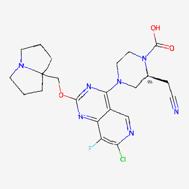 N#CC[C@H]1CN(c2nc(OCC34CCCN3CCC4)nc3c(F)c(Cl)ncc23)CCN1C(=O)O